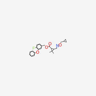 CC1(C)C(C=NOCC2CC2)C1C(=O)OCc1ccc(F)c(Oc2ccccc2)c1